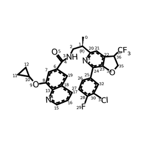 C[C@H](CNC(=O)c1cc(OC2CC2)c2ncccc2c1)c1cc2c(c(-c3ccc(F)c(Cl)c3)n1)OCC2C(F)(F)F